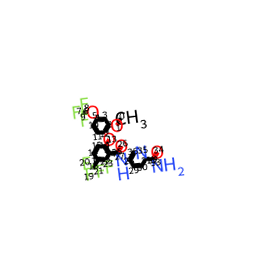 COc1cc(OC(F)(F)F)ccc1Oc1ccc(C(F)(F)F)c(F)c1C(=O)Nc1ccc(C(N)=O)nc1